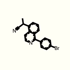 CC(C#N)c1cccc2c(-c3ccc(Br)cc3)nccc12